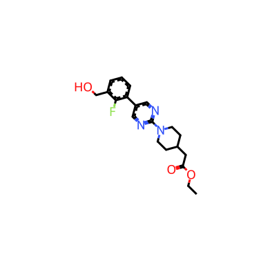 CCOC(=O)CC1CCN(c2ncc(-c3cccc(CO)c3F)cn2)CC1